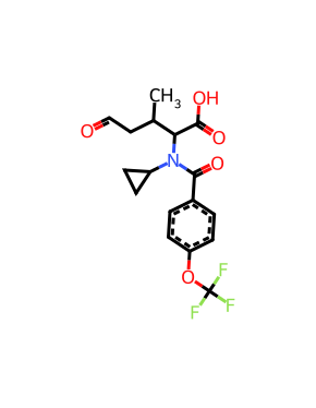 CC(CC=O)C(C(=O)O)N(C(=O)c1ccc(OC(F)(F)F)cc1)C1CC1